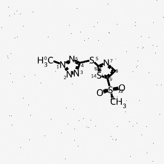 Cn1nnc(Sc2ncc(S(C)(=O)=O)s2)n1